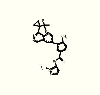 Cc1ccc(C(=O)Nc2ccnn2C)cc1-c1ccc2c(C3(C(F)(F)F)CC3)nncc2c1